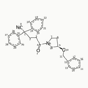 N#CC(CCC(=O)N1CC[C@@H](OCc2ccccc2)C1)(c1ccccc1)c1ccccc1